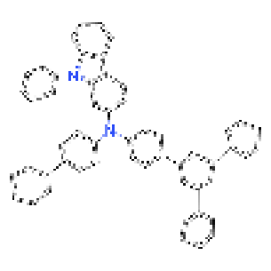 c1ccc(-c2ccc(N(c3ccc(-c4cc(-c5ccccc5)cc(-c5ccccc5)c4)cc3)c3ccc4c5ccccc5n(-c5ccccc5)c4c3)cc2)cc1